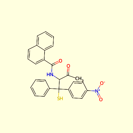 CC(=O)C(NC(=O)c1cccc2ccccc12)C(S)(c1ccccc1)c1ccc([N+](=O)[O-])cc1